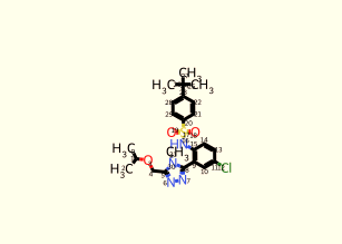 CC(C)OCc1nnc(-c2cc(Cl)ccc2NS(=O)(=O)c2ccc(C(C)(C)C)cc2)n1C